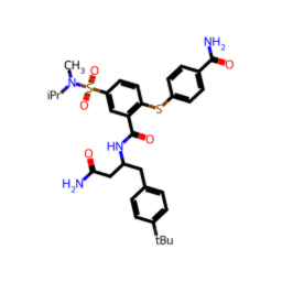 CC(C)N(C)S(=O)(=O)c1ccc(Sc2ccc(C(N)=O)cc2)c(C(=O)NC(CC(N)=O)Cc2ccc(C(C)(C)C)cc2)c1